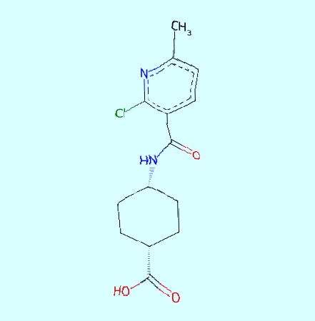 Cc1ccc(C(=O)N[C@H]2CC[C@@H](C(=O)O)CC2)c(Cl)n1